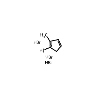 Br.Br.Br.CC1=[C]([Hf])CC=C1